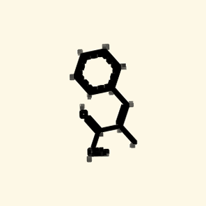 [CH2]OC(=O)C(C)=Cc1ccccc1